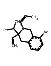 C=CC1(C(C)C(C)C)Cc2cccc(C(C)=O)c2CB1/C=C\C